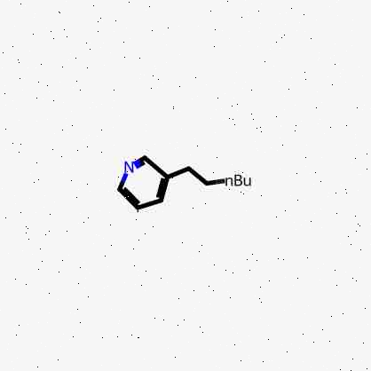 CCCCCCc1c[c]cnc1